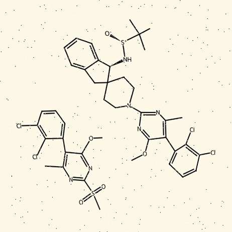 COc1nc(N2CCC3(CC2)Cc2ccccc2[C@H]3N[S@@+]([O-])C(C)(C)C)nc(C)c1-c1cccc(Cl)c1Cl.COc1nc(S(C)(=O)=O)nc(C)c1-c1cccc(Cl)c1Cl